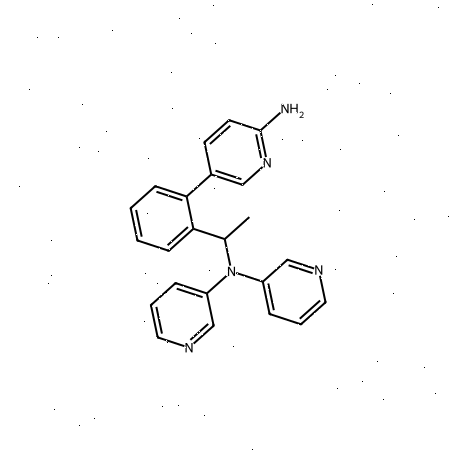 CC(c1ccccc1-c1ccc(N)nc1)N(c1cccnc1)c1cccnc1